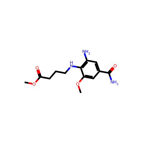 COC(=O)CCCNc1c(N)cc(C(N)=O)cc1OC